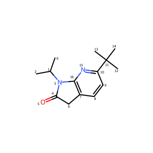 CC(C)N1C(=O)Cc2ccc(C(C)(C)C)nc21